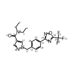 CCN(CC)C(=O)c1cnn(Cc2ccc(-c3noc(C(F)(F)F)n3)cc2)c1